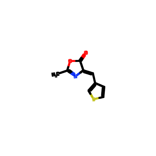 CC1=NC(=Cc2ccsc2)C(=O)O1